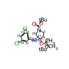 CC(C)(C)OC(=O)N1CC[C@@H](O[Si](C)(C)C(C)(C)C)[C@H](Nc2cc(Cl)cc(Cl)c2)C1